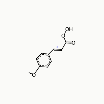 COc1ccc(/C=C/C(=O)OO)cc1